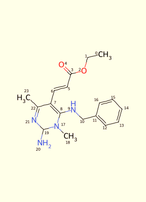 CCOC(=O)/C=C/C1=C(NCc2ccccc2)N(C)C(N)N=C1C